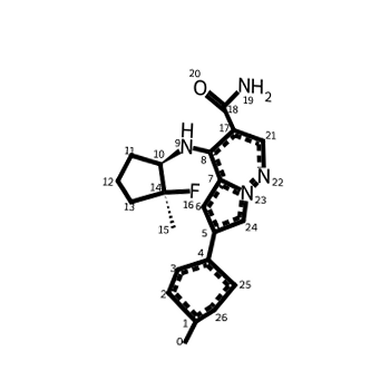 Cc1ccc(-c2cc3c(N[C@@H]4CCC[C@]4(C)F)c(C(N)=O)cnn3c2)cc1